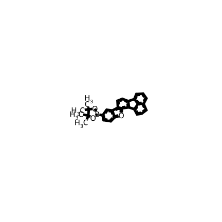 CC1(C)OB(c2ccc3oc4c5c(ccc4c3c2)-c2cccc3cccc-5c23)OC1(C)C